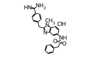 Cl.Cn1c(Cc2ccc(C(=N)N)cc2)nc2cc(NS(=O)(=O)Cc3ccccc3)ccc21